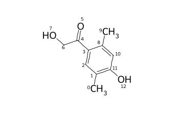 Cc1cc(C(=O)CO)c(C)cc1O